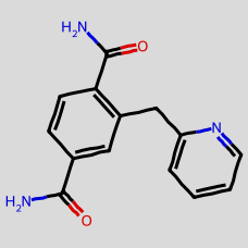 NC(=O)c1ccc(C(N)=O)c(Cc2ccccn2)c1